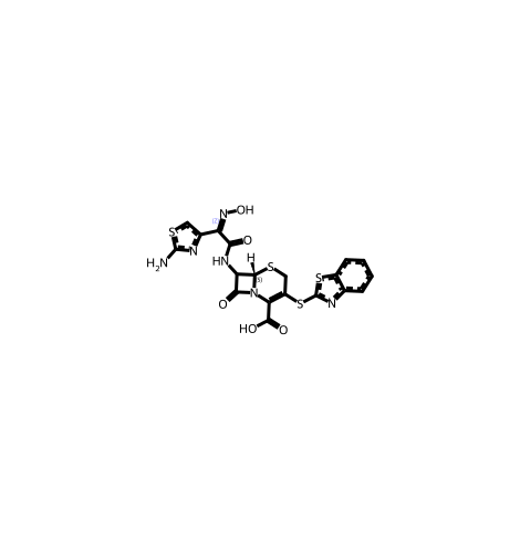 Nc1nc(/C(=N/O)C(=O)NC2C(=O)N3C(C(=O)O)=C(Sc4nc5ccccc5s4)CS[C@@H]23)cs1